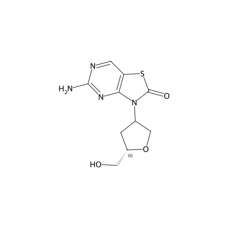 Nc1ncc2sc(=O)n(C3CO[C@H](CO)C3)c2n1